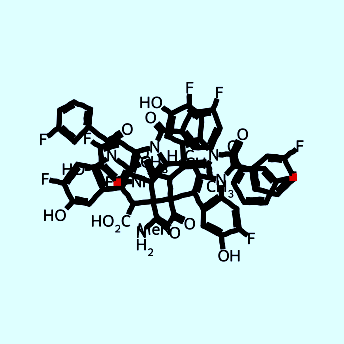 CCNC(=O)C(c1c(C)n(C(=O)c2cccc(F)c2)c2cc(F)c(O)cc12)C(C(=O)NC)(c1c(C)n(C(=O)c2cccc(F)c2)c2cc(F)c(O)cc12)C(C(N)=O)(c1c(C)n(C(=O)c2cccc(F)c2)c2cc(F)c(O)cc12)C(C(=O)O)c1c(C)n(C(=O)c2cccc(F)c2)c2cc(F)c(O)cc12